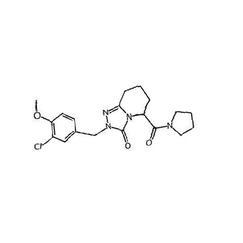 COc1ccc(Cn2nc3n(c2=O)C(C(=O)N2CCCC2)CCC3)cc1Cl